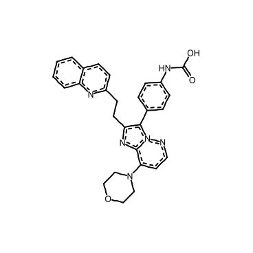 O=C(O)Nc1ccc(-c2c(CCc3ccc4ccccc4n3)nc3c(N4CCOCC4)ccnn23)cc1